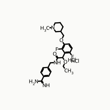 CCOC(C(=O)NCc1ccc(C(=N)N)cc1)c1c(F)ccc(OCC2CCCN(C)C2)c1F.Cl.Cl